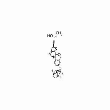 CCC(O)C#Cc1cc2ncn(-c3ccc(O[C@H]4C[C@H]5CC[C@@H](C4)N5C)cc3F)c(=O)c2s1